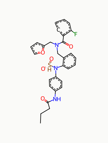 CCCC(=O)Nc1ccc(N(c2ccccc2CN(Cc2ccco2)C(=O)c2ccccc2F)[SH](=O)=O)cc1